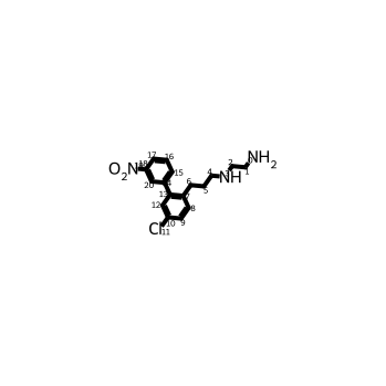 NCCNCCCc1ccc(Cl)cc1-c1cccc([N+](=O)[O-])c1